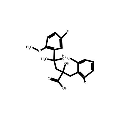 COc1ccc(F)cc1C(C)(C)CC(O)(Cc1c(F)cccc1Cl)C(=O)O